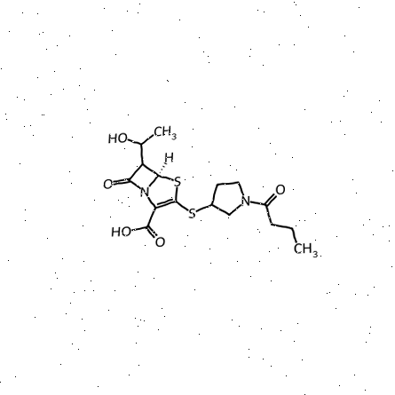 CCCC(=O)N1CCC(SC2=C(C(=O)O)N3C(=O)C(C(C)O)[C@H]3S2)C1